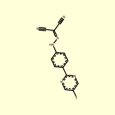 N#CC(C#N)=NNc1ccc(-c2ncc(F)cn2)cc1